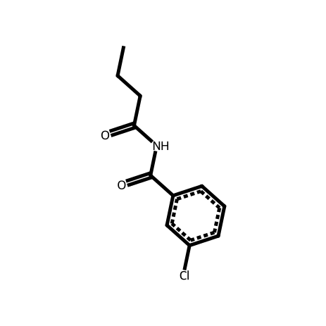 CCCC(=O)NC(=O)c1cccc(Cl)c1